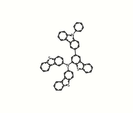 c1ccc(-n2c3ccccc3c3cc(-c4cc(N(c5ccc6sc7ccccc7c6c5)c5ccc6sc7ccccc7c6c5)c5sc6ccccc6c5c4)ccc32)cc1